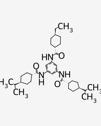 CC[C@H]1CC[C@H](C(=O)Nc2cc(NC(=O)[C@H]3CC[C@H](C(C)C)CC3)cc(NC(=O)[C@H]3CC[C@H](C(C)C)CC3)c2)CC1